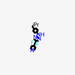 CC(C)Cc1ccc(Nc2ncc(C(F)(F)c3ccncc3)cn2)cc1